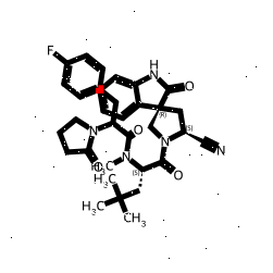 CN(C(=O)C(Cc1ccc(F)cc1)N1CCCC1=O)[C@@H](CC(C)(C)C)C(=O)N1C[C@]2(C[C@H]1C#N)C(=O)Nc1ccccc12